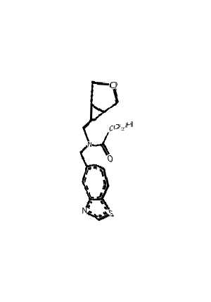 O=C(O)C(=O)N(Cc1ccc2scnc2c1)CC1C2COCC21